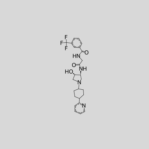 O=C(CNC(=O)c1cccc(C(F)(F)F)c1)N[C@H]1CN(C2CCC(c3ccccn3)CC2)C[C@H]1O